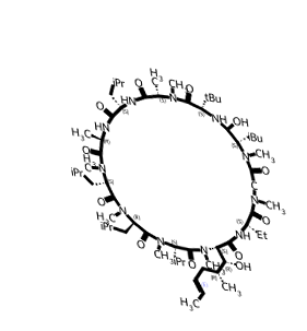 C/C=C/C[C@@H](C)[C@@H](O)[C@H]1C(=O)N[C@@H](CC)C(=O)N(C)CC(=O)N(C)[C@@H](C(C)CC)C(O)N[C@@H](C(C)(C)C)C(=O)N(C)[C@@H](C)C(=O)N[C@@H](CC(C)C)C(=O)N[C@H](C)C(=O)N(C)[C@@H](CC(C)C)C(=O)N(C)[C@H](CC(C)C)C(=O)N(C)[C@@H](C(C)C)C(=O)N1C